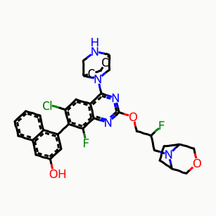 Oc1cc(-c2c(Cl)cc3c(N4CC5CCCC4CN5)nc(OCC(F)CN4C5CCC4COC5)nc3c2F)c2ccccc2c1